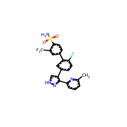 Cc1cccc(-c2n[nH]cc2-c2ccc(F)c(-c3ccc(S(N)(=O)=O)c(C(F)(F)F)c3)c2)n1